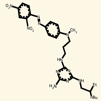 CCCCC(CC)CNc1nc(N)nc(NCCCN(C)c2ccc(/N=N/c3ccc([N+](=O)[O-])cc3[N+](=O)[O-])cc2)n1